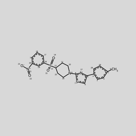 Cc1ccc(-c2csc(N3CCC(S(=O)(=O)c4cccc([N+](=O)[O-])c4)CC3)n2)cc1